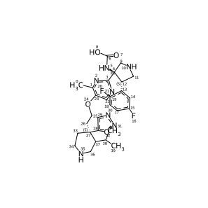 Cc1nc([C@]2(NC(=O)O)CNC[C@@H]2c2cc(F)ccc2F)ncc1OCC[C@@]1(c2cnno2)CCNCC1C(C)C